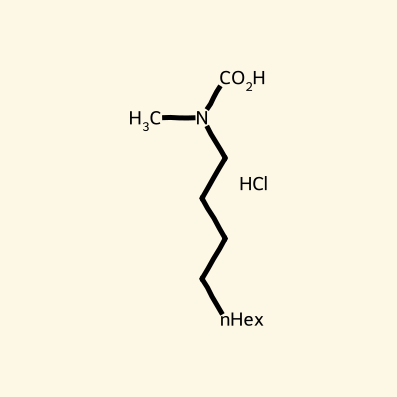 CCCCCCCCCCN(C)C(=O)O.Cl